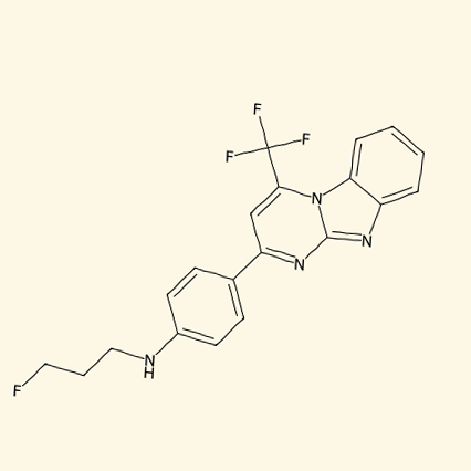 FCCCNc1ccc(-c2cc(C(F)(F)F)n3c(n2)nc2ccccc23)cc1